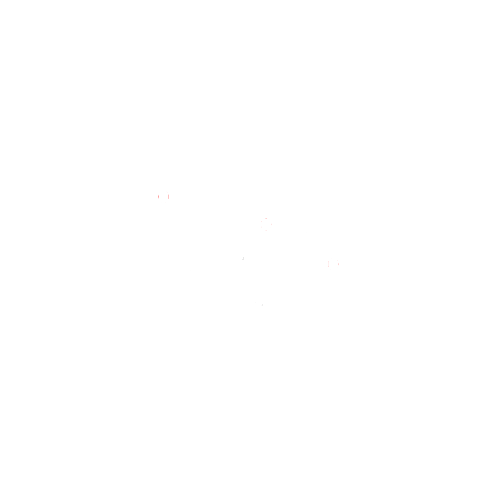 CC(=O)OC1CCC1[C]=O